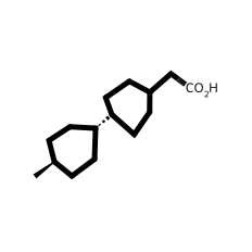 C[C@H]1CC[C@H](C2CCC(CC(=O)O)CC2)CC1